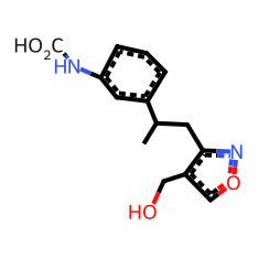 CC(Cc1nocc1CO)c1cccc(NC(=O)O)c1